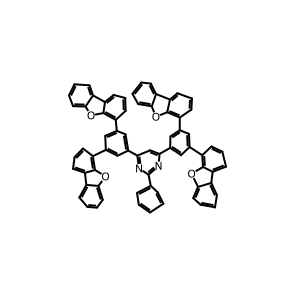 c1ccc(-c2nc(-c3cc(-c4cccc5c4oc4ccccc45)cc(-c4cccc5c4oc4ccccc45)c3)cc(-c3cc(-c4cccc5c4oc4ccccc45)cc(-c4cccc5c4oc4ccccc45)c3)n2)cc1